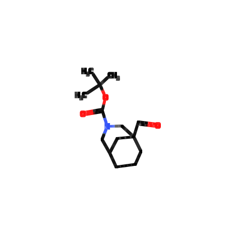 CC(C)(C)OC(=O)N1CC2CCCC(C=O)(C2)C1